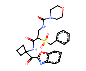 O=C(NC1(C(=O)c2nc3ccccc3o2)CCC1)C(CNC(=O)N1CCOCC1)S(=O)(=O)Cc1ccccc1